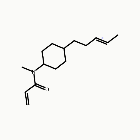 C=CC(=O)N(C)C1CCC(CC/C=C/C)CC1